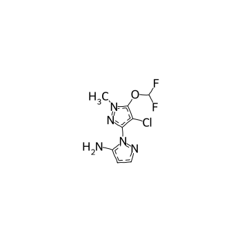 Cn1nc(-n2nccc2N)c(Cl)c1OC(F)F